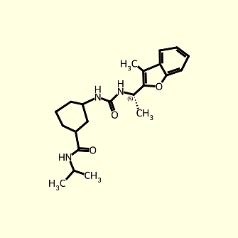 Cc1c([C@H](C)NC(=O)NC2CCCC(C(=O)NC(C)C)C2)oc2ccccc12